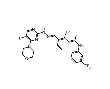 C=CC(/C=N/Nc1ncc(F)c(N2CCOCC2)n1)=C(\C=C(/C)Nc1cccc(C(F)(F)F)c1)C(C)C